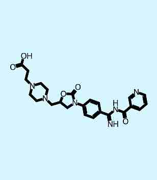 N=C(NC(=O)c1cccnc1)c1ccc(N2CC(CN3CCN(CCC(=O)O)CC3)OC2=O)cc1